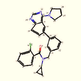 O=C(c1ccccc1Br)N(Cc1cccc(-c2ccc3ncnc(N4CCCC4)c3c2)c1)C1CC1